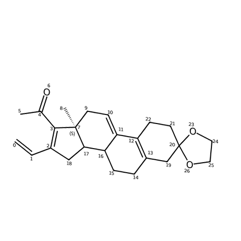 C=CC1=C(C(C)=O)[C@@]2(C)CC=C3C4=C(CCC3C2C1)CC1(CC4)OCCO1